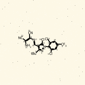 CC(C)(C)c1nn(-c2c(Cl)cc(C(F)(F)F)cc2Cl)c(Cl)c1C=NC(C#N)=C(N)C#N